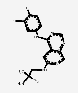 CC(C)(N)CNc1cc2c(Nc3ccc(F)c(Cl)c3)ncnc2cn1